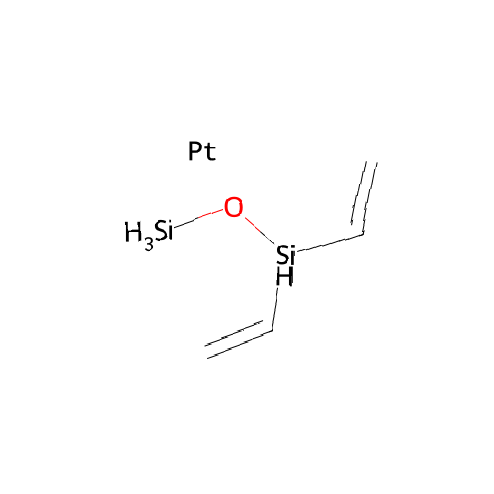 C=C[SiH](C=C)O[SiH3].[Pt]